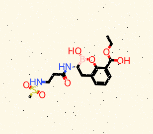 CCOC(O)c1cccc2c1OB(O)[C@@H](NC(=O)CCNS(C)(=O)=O)C2